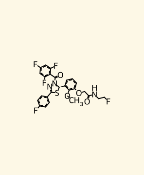 COc1c(OCC(=O)NCCF)cccc1[C@H]1SC(c2ccc(F)cc2)=NN1C(=O)c1c(F)cc(F)cc1F